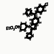 CCOC(=O)N1CCC(n2c(-c3nccs3)nc3ccc(C(c4ccc(Cl)cc4)c4nccs4)cc32)CC1